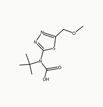 COCc1nnc(N(C(=O)O)C(C)(C)C)s1